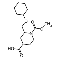 COC(=O)N1CCC(C(=O)O)CC1COC1CCCCC1